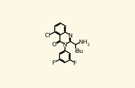 CCC(C)C(N)c1nc2cccc(Cl)c2c(=O)n1-c1cc(F)cc(F)c1